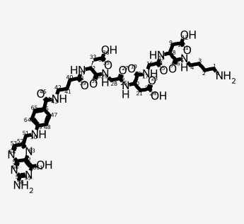 NCCCCNC(=O)C(CC(=O)O)NC(=O)CNC(=O)C(CC(=O)O)NC(=O)CNC(=O)[C@@H](CC(=O)O)NC(=O)CCCNC(=O)c1ccc(NCc2cnc3nc(N)nc(O)c3n2)cc1